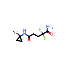 N#CC1(NC(=O)[CH]CC(F)(F)C(N)=O)CC1